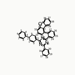 C1=CC(c2ccccc2)CC=C1c1nc(-c2ccccc2)nc(-c2ccccc2-c2cccc3oc4ccccc4c23)n1